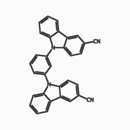 N#Cc1ccc2c(c1)c1ccccc1n2-c1cccc(-n2c3ccccc3c3cc(C#N)ccc32)c1